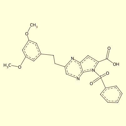 COc1cc(CCc2cnc3c(cc(C(=O)O)n3S(=O)(=O)c3ccccc3)n2)cc(OC)c1